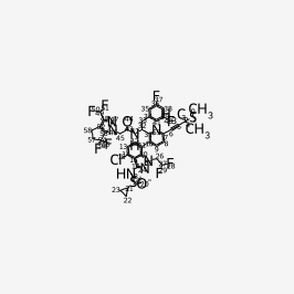 CSC(C)(C)C#Cc1ccc(-c2ccc(Cl)c3c(N[S+]([O-])C4CC4)nn(CC(F)F)c23)c(C(Cc2cc(F)cc(F)c2)NC(=O)Cn2nc(C(F)F)c3c2C(F)(F)CC3)n1